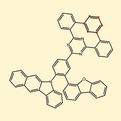 c1ccc(-c2ccccc2-c2nc(-c3ccc(-n4c5ccccc5c5cc6ccccc6cc54)c(-c4cccc5c4oc4ccccc45)c3)nc(-c3ccccc3-c3ccccc3)n2)cc1